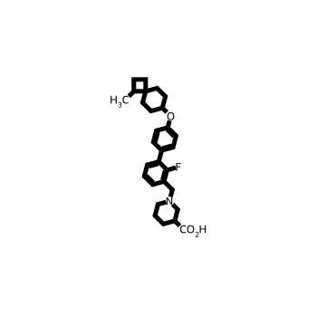 CC1CCC12CCC(Oc1ccc(-c3cccc(CN4CCCC(C(=O)O)C4)c3F)cc1)CC2